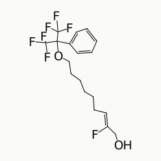 OCC(F)=CCCCCCCOC(c1ccccc1)(C(F)(F)F)C(F)(F)F